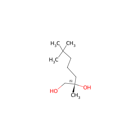 CC(C)(C)CCC[C@](C)(O)CO